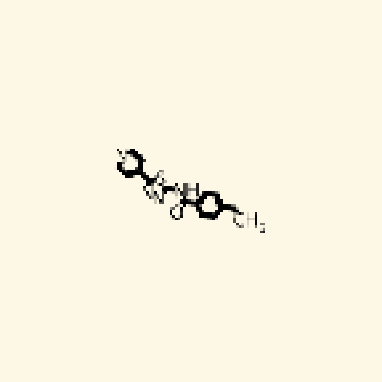 CCc1ccc(C(=O)Nc2nnc(-c3ccncc3)s2)cc1